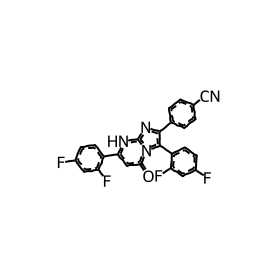 N#Cc1ccc(-c2nc3[nH]c(-c4ccc(F)cc4F)cc(=O)n3c2-c2ccc(F)cc2F)cc1